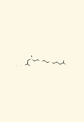 CCCCCC(C)CN(C)CCOCCOCCCC(CC)CC